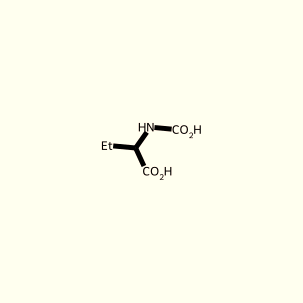 CCC(NC(=O)O)C(=O)O